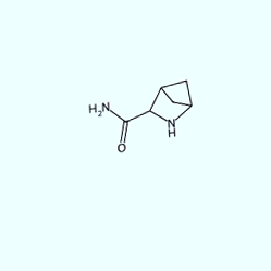 NC(=O)C1NC2CC1C2